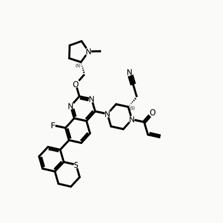 C=CC(=O)N1CCN(c2nc(OC[C@@H]3CCCN3C)nc3c(F)c(-c4cccc5c4SCCC5)ccc23)C[C@@H]1CC#N